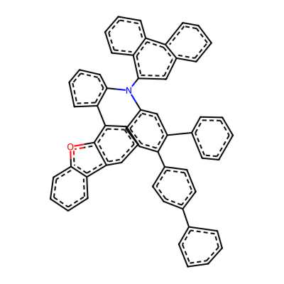 c1ccc(-c2ccc(-c3ccc(N(c4ccccc4-c4cccc5c4oc4ccccc45)c4cc5ccccc5c5ccccc45)cc3-c3ccccc3)cc2)cc1